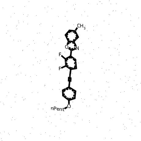 CCCCCOc1ccc(C#Cc2ccc(-c3nc4cc(C)ccc4o3)c(F)c2F)cc1